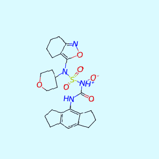 O=C(Nc1c2c(cc3c1CCC3)CCC2)[NH+]([O-])S(=O)(=O)N(c1onc2c1CCCC2)C1CCOCC1